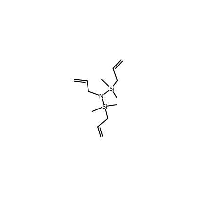 C=CCN([Si](C)(C)CC=C)[Si](C)(C)CC=C